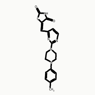 Cc1ccc(N2CCN(c3nccc(/C=C4/SC(=O)NC4=O)n3)CC2)cc1